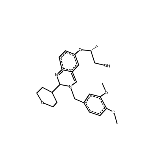 COc1ccc(CN2C=c3cc(O[C@H](C)CO)ccc3=NC2C2CCOCC2)cc1OC